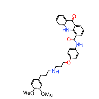 COc1ccc(CCCNCCCOc2ccc(NC(=O)c3cccc4c(=O)c5ccccc5[nH]c34)cc2)cc1OC